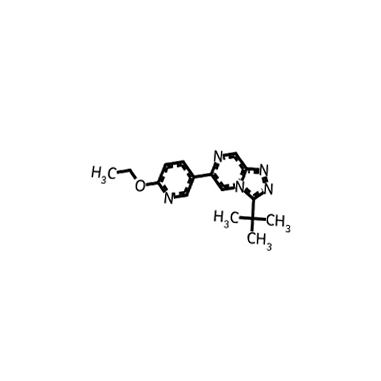 CCOc1ccc(-c2cn3c(C(C)(C)C)nnc3cn2)cn1